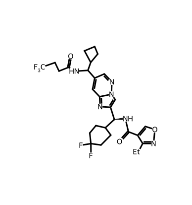 CCc1nocc1C(=O)N[C@H](c1cn2ncc(C(NC(=O)CCC(F)(F)F)C3CCC3)cc2n1)C1CCC(F)(F)CC1